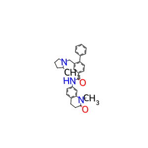 CC1CCCN1Cc1cc(C(=O)Nc2ccc3c(c2)N(C)C(=O)CC3)ccc1-c1ccccc1